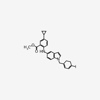 COC(=O)c1cc(C2CC2)ccc1Nc1ccc2c(ccn2CC2=CC=C(I)CC2)c1